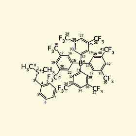 C[S+](C)Cc1ccccc1.FC(F)(F)c1cc([B-](c2cc(C(F)(F)F)cc(C(F)(F)F)c2)(c2cc(C(F)(F)F)cc(C(F)(F)F)c2)c2cc(C(F)(F)F)cc(C(F)(F)F)c2)cc(C(F)(F)F)c1